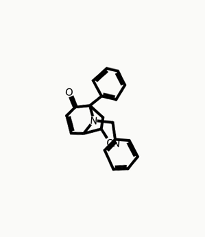 N#CC1CC2(c3ccccc3)C(=O)C=CC1N2Cc1ccccc1